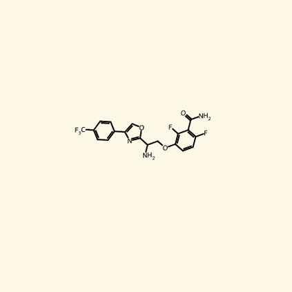 NC(=O)c1c(F)ccc(OCC(N)c2nc(-c3ccc(C(F)(F)F)cc3)co2)c1F